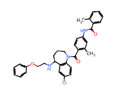 Cc1ccccc1C(=O)Nc1ccc(C(=O)N2CCCC(NCCOc3ccccc3)c3cc(Cl)ccc32)c(C)c1